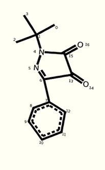 CC(C)(C)N1N=C(c2ccccc2)C(=O)C1=O